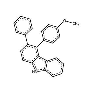 COc1ccc(-c2c(-c3ccccc3)ccc3[nH]c4ccccc4c23)cc1